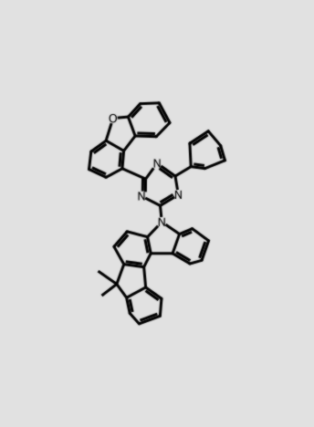 CC1(C)c2ccccc2-c2c1ccc1c2c2ccccc2n1-c1nc(-c2ccccc2)nc(-c2cccc3oc4ccccc4c23)n1